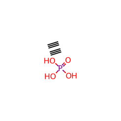 C#C.C#C.O=P(O)(O)O